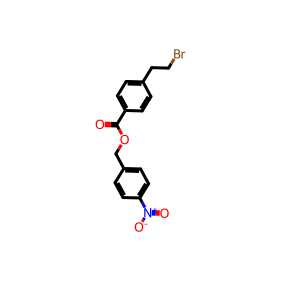 O=C(OCc1ccc([N+](=O)[O-])cc1)c1ccc(CCBr)cc1